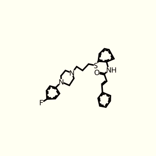 O=C(/C=C/c1ccccc1)Nc1ccccc1SCCCN1CCN(c2ccc(F)cc2)CC1